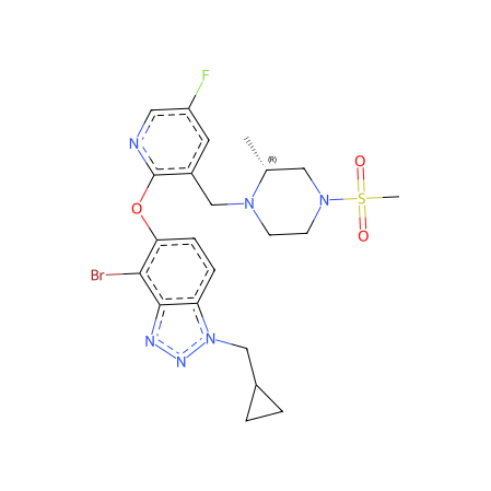 C[C@@H]1CN(S(C)(=O)=O)CCN1Cc1cc(F)cnc1Oc1ccc2c(nnn2CC2CC2)c1Br